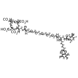 Cc1cc(C)c(NC(=O)CC[C@H](CNCCOCCOCCOCCOCCOCCNC(=O)CCC(C(=O)O)N2CCN(CC(=O)O)CCN(CC(=O)O)CCN(CC(=O)O)CC2)NCCCCCC(=O)Oc2c(F)c(F)cc(F)c2F)c(C)c1Br